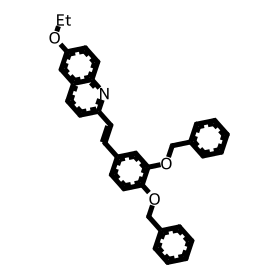 CCOc1ccc2nc(C=Cc3ccc(OCc4ccccc4)c(OCc4ccccc4)c3)ccc2c1